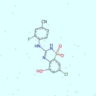 N#Cc1ccc(NC2=Nc3c(O)cc(Cl)cc3S(=O)(=O)N2)c(F)c1